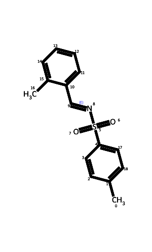 Cc1ccc(S(=O)(=O)/N=C/c2ccccc2C)cc1